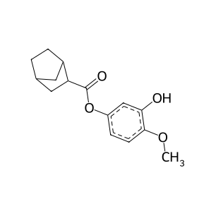 COc1ccc(OC(=O)C2CC3CCC2C3)cc1O